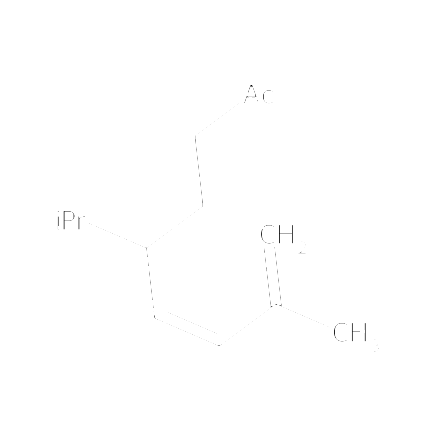 C=C(C)/C=C\C(CCC(C)=O)C(C)C